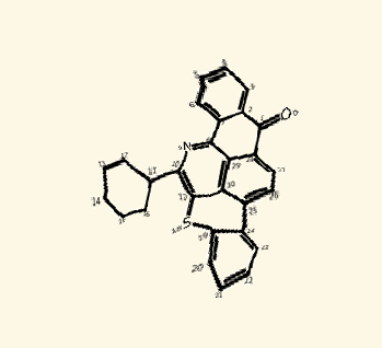 O=c1c2ccccc2c2nc(C3CCCCC3)c3sc4ccccc4c4ccc1c2c34